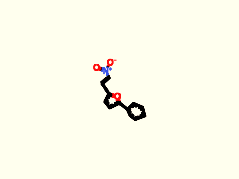 O=[N+]([O-])C=Cc1ccc(-c2ccccc2)o1